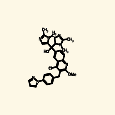 COc1nc2ccc(C(O)(c3cnc(C)n3C)C3CN=C(C)N3C)cc2c(Cl)c1Cc1ccc(-n2cccn2)cc1